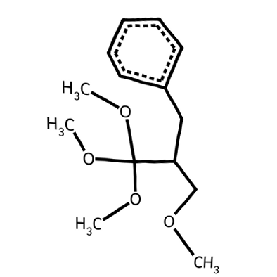 COCC(Cc1ccccc1)C(OC)(OC)OC